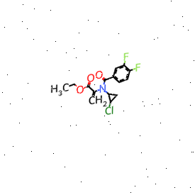 C=C(C(=O)OCC)N(C(=O)c1ccc(F)c(F)c1)C1CC1Cl